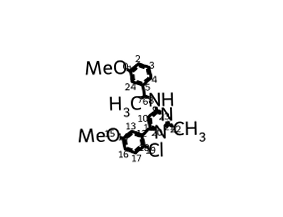 COc1cccc(C(C)Nc2cc(-c3cc(OC)ccc3Cl)nc(C)n2)c1